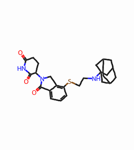 O=C1CCC(N2Cc3c(SCCNC45CC6CC(CC(C6)C4)C5)cccc3C2=O)C(=O)N1